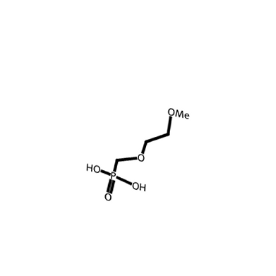 COCCOCP(=O)(O)O